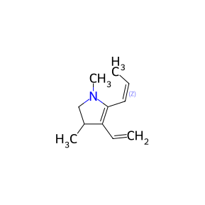 C=CC1=C(/C=C\C)N(C)CC1C